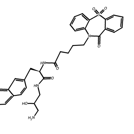 NCC(O)CNC(=O)[C@@H](Cc1ccc2ccccc2c1)NC(=O)CCCCN1C(=O)c2ccccc2S(=O)(=O)c2ccccc21